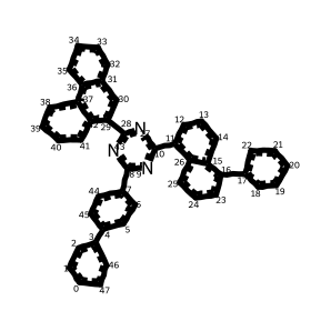 c1ccc(-c2ccc(-c3nc(-c4cccc5c(-c6ccccc6)cccc45)nc(-c4cc5ccccc5c5ccccc45)n3)cc2)cc1